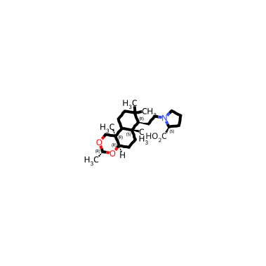 C[C@@H]1OC[C@@]2(C)C3CCC(C)(C)[C@@H](CCN4CCC[C@H]4C(=O)O)[C@]3(C)CC[C@H]2O1